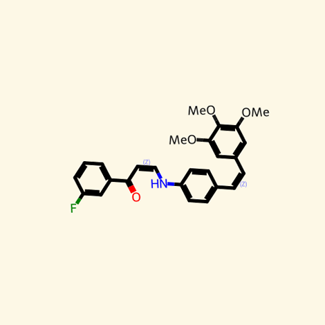 COc1cc(/C=C\c2ccc(N/C=C\C(=O)c3cccc(F)c3)cc2)cc(OC)c1OC